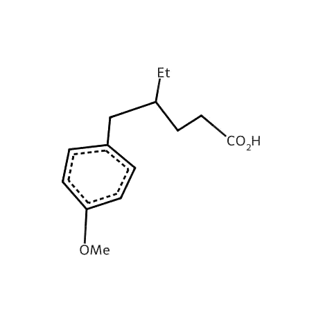 CCC(CCC(=O)O)Cc1ccc(OC)cc1